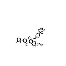 CSc1ncc2cc(-c3ccc(-c4cccc(C)n4)cc3Cl)c(=O)n(CCN3CCN(C(=O)OC(C)(C)C)CC3)c2n1